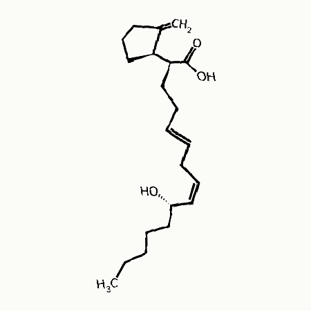 C=C1CCC[C@@H]1[C@H](CC/C=C/C/C=C\[C@@H](O)CCCCC)C(=O)O